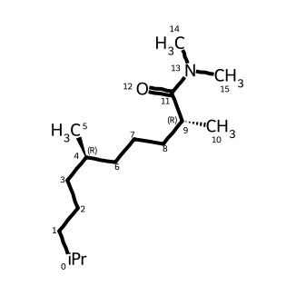 CC(C)CCC[C@@H](C)CCC[C@@H](C)C(=O)N(C)C